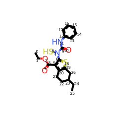 CCOC(=O)c1c(N(S)C(=O)Nc2ccccc2)sc2c1CCC(CC)C2